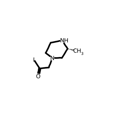 C[C@@H]1CN(CC(=O)I)CCN1